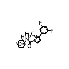 Cn1c(C(=O)N[C@H]2CN3CCC2CC3)ccc1-c1cc(F)cc(F)c1